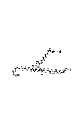 CCCC/C=C\C/C=C\CCCCCCCC(=O)O[C@H](COC(=O)CCCCCCC/C=C\CCCCCCC)COC(=O)CCCCCCCCC/C=C\CCCCCCCC